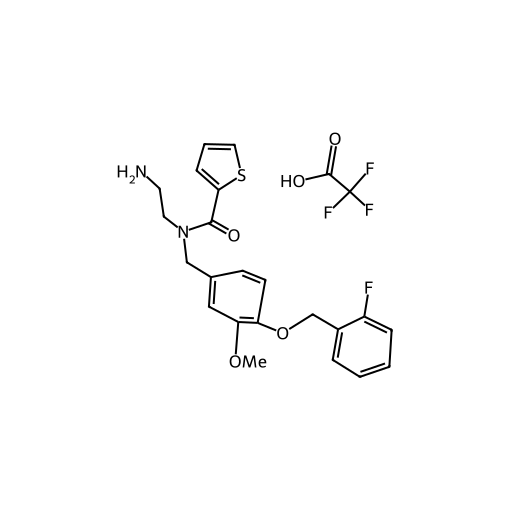 COc1cc(CN(CCN)C(=O)c2cccs2)ccc1OCc1ccccc1F.O=C(O)C(F)(F)F